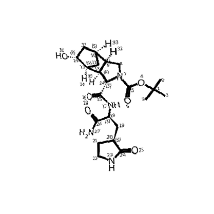 CC(C)(C)OC(=O)N1C[C@@H]2[C@H]3C[C@@H]([C@@H]2[C@H]1C(=O)N[C@@H](C[C@@H]1CCNC1=O)C(N)=O)[C@H](O)C3